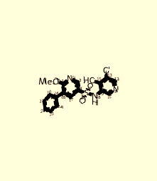 COc1ncc(S(=O)(=O)Nc2cncc(Cl)c2O)cc1-c1ccccc1